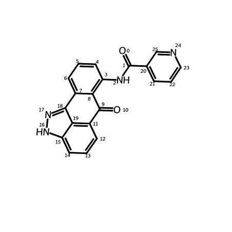 O=C(Nc1cccc2c1C(=O)c1cccc3[nH]nc-2c13)c1cccnc1